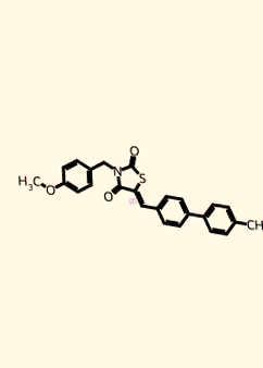 COc1ccc(CN2C(=O)S/C(=C\c3ccc(-c4ccc(C)cc4)cc3)C2=O)cc1